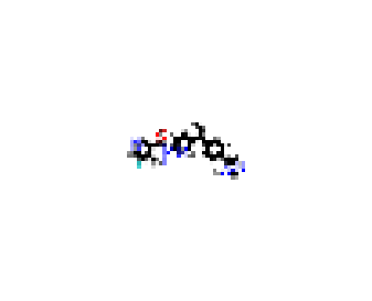 CC=C(c1ccc(-c2cncn2C)cc1)c1ccc(NC(=O)c2cncc(F)c2C)nc1